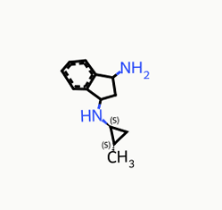 C[C@H]1C[C@@H]1NC1CC(N)c2ccccc21